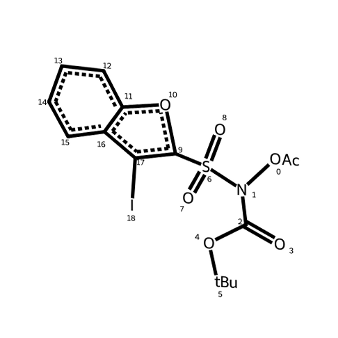 CC(=O)ON(C(=O)OC(C)(C)C)S(=O)(=O)c1oc2ccccc2c1I